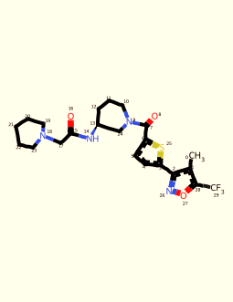 Cc1c(-c2ccc(C(=O)N3CCC[C@H](NC(=O)CN4CCCCC4)C3)s2)noc1C(F)(F)F